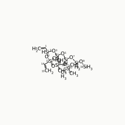 C=C[SiH](O[SiH2]O[SiH2]O[SiH2]O[SiH3])O[Si](C)(C=C)O[Si](C)(C)O[Si](C)(C)C